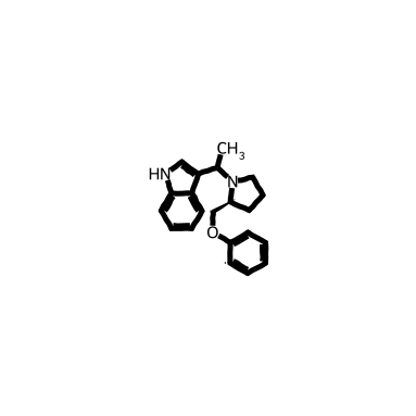 CC(c1c[nH]c2ccccc12)N1CCC[C@H]1COc1[c]cccc1